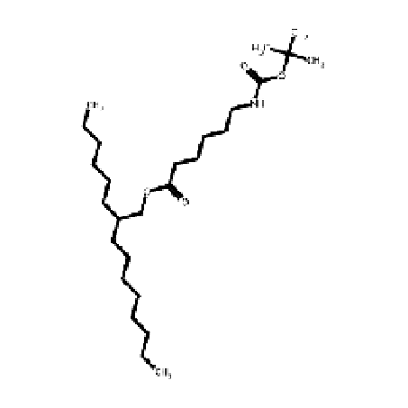 CCCCCCCCC(CCCCCC)COC(=O)CCCCCNC(=O)OC(C)(C)C